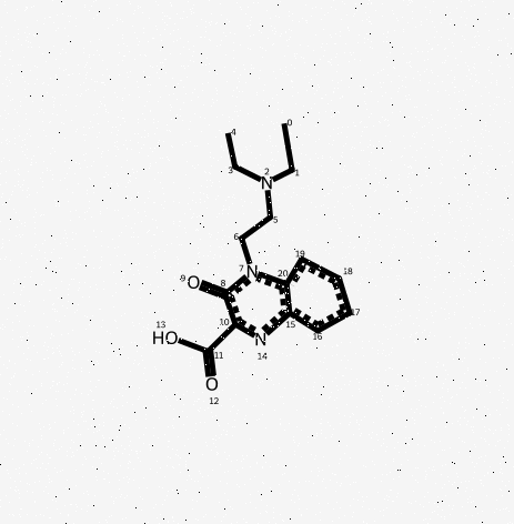 CCN(CC)CCn1c(=O)c(C(=O)O)nc2ccccc21